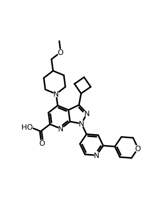 COCC1CCN(c2cc(C(=O)O)nc3c2c(C2CCC2)nn3-c2ccnc(C3=CCOCC3)c2)CC1